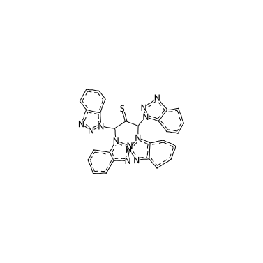 S=C(C(n1nnc2ccccc21)n1nnc2ccccc21)C(n1nnc2ccccc21)n1nnc2ccccc21